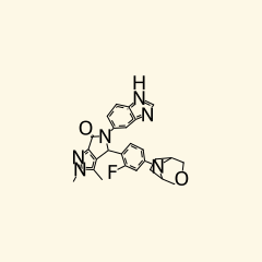 Cc1c2c(nn1C)C(=O)N(c1ccc3[nH]cnc3c1)C2c1ccc(N2C3CCC2COC3)cc1F